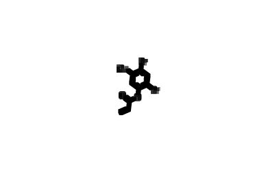 C=CC(=O)Oc1cc(C(C)CC)c(Br)cc1Br